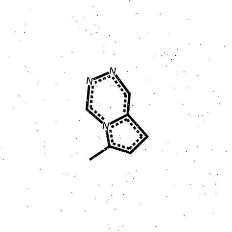 Cc1ccc2cnncn12